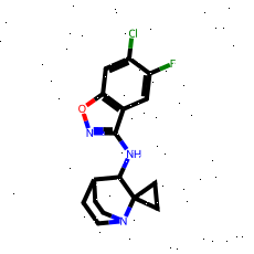 Fc1cc2c(NC3C4CCN(CC4)C34CC4)noc2cc1Cl